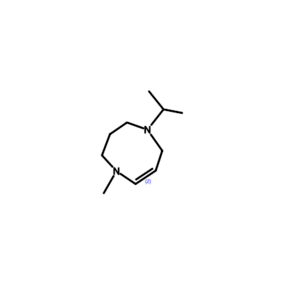 CC(C)N1C/C=C\N(C)CCC1